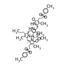 CCCC1=C(C)C(/C=C2\NC(=O)C(C)=C2CCS(=O)(=O)c2ccc(C)cc2)=NC/1=C\c1[nH]c(/C=C2\NC(=O)C(CCS(=O)(=O)c3ccc(C)cc3)=C2C)c(C)c1CCC(=O)OC